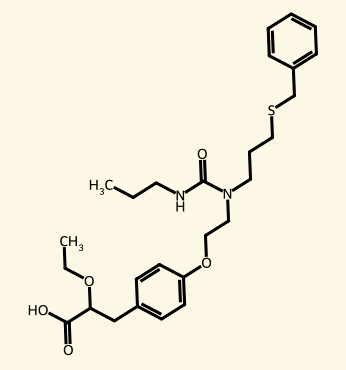 CCCNC(=O)N(CCCSCc1ccccc1)CCOc1ccc(CC(OCC)C(=O)O)cc1